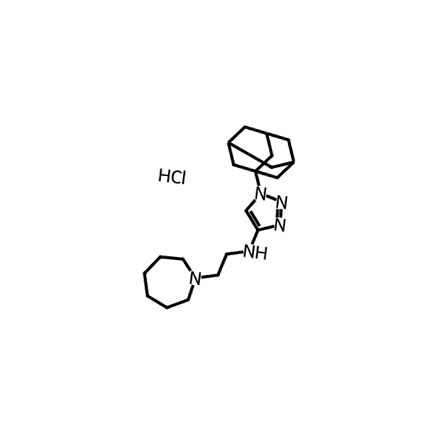 Cl.c1c(NCCN2CCCCCC2)nnn1C12CC3CC(CC(C3)C1)C2